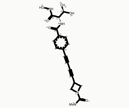 CNC(=O)N1CC(C#CC#Cc2ccc(C(=O)N[C@H](C(=O)NO)[C@@H](C)O)cc2)C1